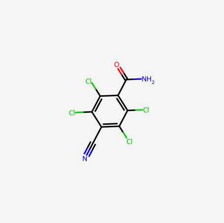 N#Cc1c(Cl)c(Cl)c(C(N)=O)c(Cl)c1Cl